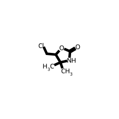 CC1(C)NC(=O)OC1CCl